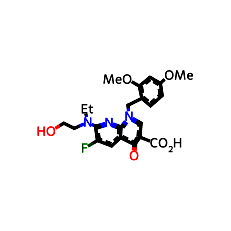 CCN(CCO)c1nc2c(cc1F)c(=O)c(C(=O)O)cn2Cc1ccc(OC)cc1OC